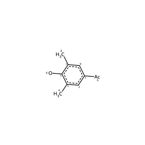 CC(=O)c1cc(C)c([O])c(C)c1